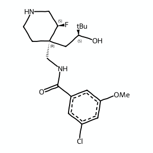 COc1cc(Cl)cc(C(=O)NC[C@]2(C[C@H](O)C(C)(C)C)CCNC[C@H]2F)c1